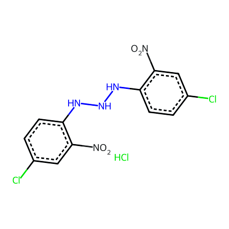 Cl.O=[N+]([O-])c1cc(Cl)ccc1NNNc1ccc(Cl)cc1[N+](=O)[O-]